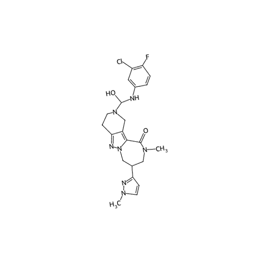 CN1CC(c2ccn(C)n2)Cn2nc3c(c2C1=O)CN(C(O)Nc1ccc(F)c(Cl)c1)CC3